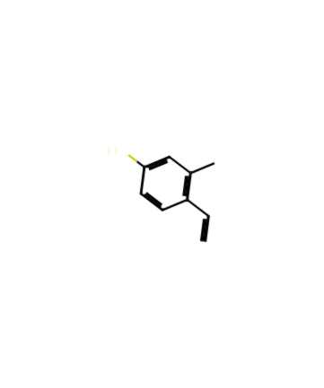 C=Cc1ccc(S)cc1C